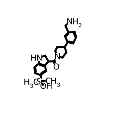 C[Si](C)(O)c1ccc2c(c1)C(C(=O)N1CCC(c3cccc(CN)c3)CC1)CN2